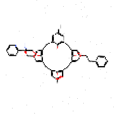 Cc1cc2c(O)c(c1)Cc1cc(CCc3ccccc3)cc(c1OCC(N)=O)Cc1cc(C)cc(c1O)Cc1cc(CCc3ccccc3)cc(c1O)C2